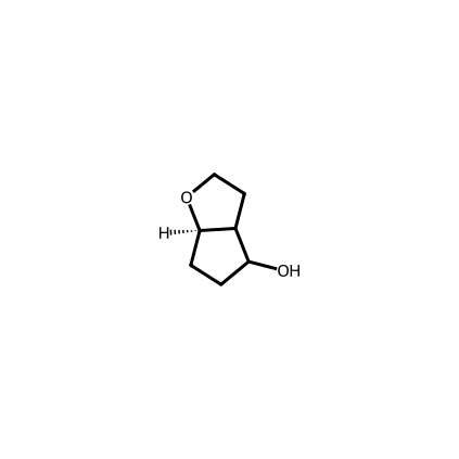 OC1CC[C@H]2OCCC12